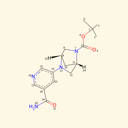 CC(C)(C)OC(=O)N1C[C@@H]2C[C@H]1CN2c1cncc(C(N)=O)c1